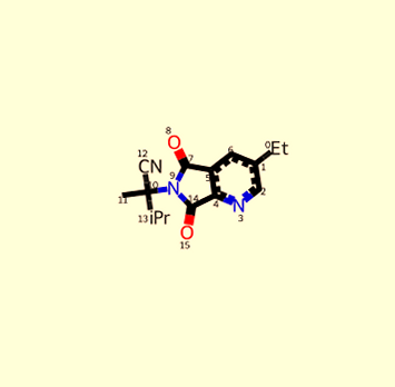 CCc1cnc2c(c1)C(=O)N(C(C)(C#N)C(C)C)C2=O